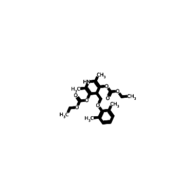 CCOC(=O)OC1=C(C)NC(C)=C(OC(=O)OCC)C1COc1c(C)cccc1C